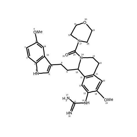 COc1ccc2[nH]cc(CCC3c4cc(NC(=N)N)c(OC)cc4CCN3C(=O)N3CCOCC3)c2c1